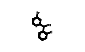 OC(c1cc(Br)ccn1)c1ccccc1Cl